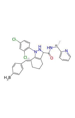 Bc1ccc(/C=C2\CCCC3=C2N(c2ccc(Cl)cc2Cl)NC3C(=O)N[C@H](C)c2ccccn2)cc1